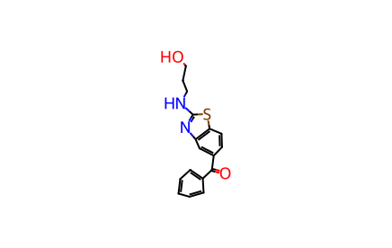 O=C(c1ccccc1)c1ccc2sc(NCCCO)nc2c1